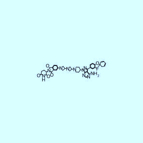 CC1(Oc2ccc(-c3nn(C4CCN(C5CN(C6CN(c7ccc8c(c7)C(=O)N(C7CCC(=O)NC7=O)C8=O)C6)C5)CC4)c4ncnc(N)c34)cc2F)C=CC=CC1